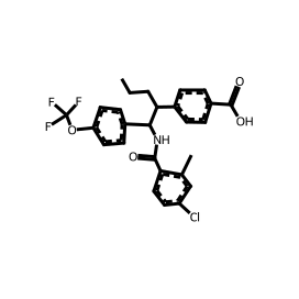 CCCC(c1ccc(C(=O)O)cc1)C(NC(=O)c1ccc(Cl)cc1C)c1ccc(OC(F)(F)F)cc1